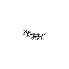 CCON(CC)S(=O)(=O)C(C)(C)C(=O)Nc1nc(C(C)(C)C)cs1